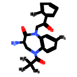 Cc1ccc2c(c1)N(CC(=O)c1ccccc1C)C(=O)C(N)CN2C(=O)C(C)(C)C